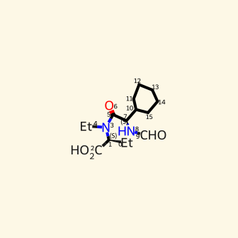 CC[C@@H](C(=O)O)N(CC)C(=O)[C@@H](NC=O)C1CCCCC1